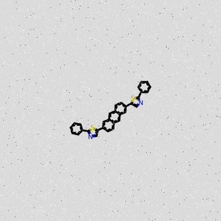 c1ccc(-c2ncc(-c3ccc4cc5cc(-c6cnc(-c7ccccc7)s6)ccc5cc4c3)s2)cc1